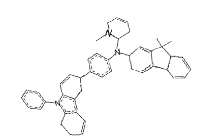 CN1CC=CCC1N(c1ccc(C2C=Cc3c(c4c(n3-c3ccccc3)CCC=C4)C2)cc1)C1C=C2C(=CC1)C1C=CC=CC1C2(C)C